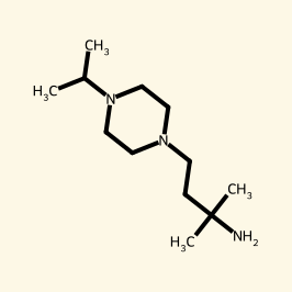 CC(C)N1CCN(CCC(C)(C)N)CC1